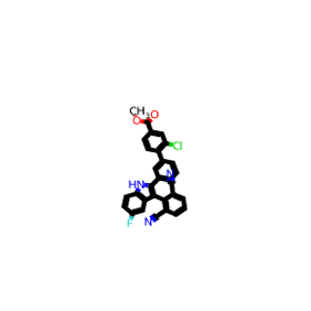 COC(=O)c1ccc(-c2cccc(-c3[nH]c4ccc(F)cc4c3-c3c(C#N)cccc3C#N)c2)c(Cl)c1